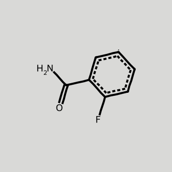 NC(=O)c1c[c]ccc1F